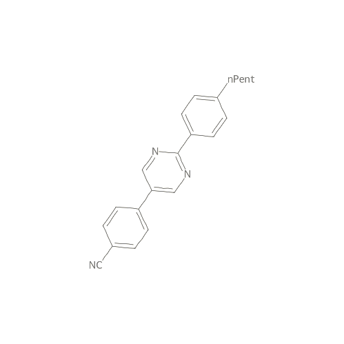 CCCCCc1ccc(-c2ncc(-c3ccc(C#N)cc3)cn2)cc1